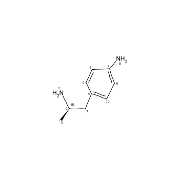 [CH2][C@@H](N)Cc1ccc(N)cc1